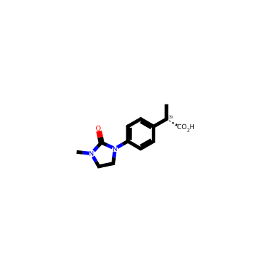 C[C@H](C(=O)O)c1ccc(N2CCN(C)C2=O)cc1